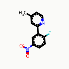 Cc1ccnc(-c2cc([N+](=O)[O-])ccc2F)c1